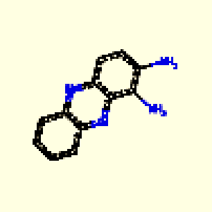 Nc1ccc2nc3ccccc3nc2c1N